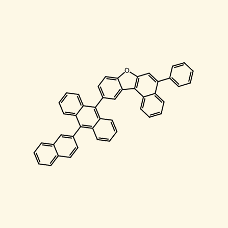 c1ccc(-c2cc3oc4ccc(-c5c6ccccc6c(-c6ccc7ccccc7c6)c6ccccc56)cc4c3c3ccccc23)cc1